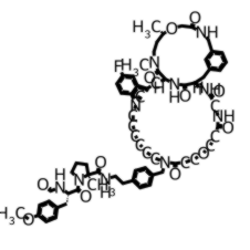 COc1ccc(C[C@H](NC=O)C(=O)N2CCC[C@@]2(C)C(=O)NCCc2ccc(CN3CCCCCCn4cc(c5cc(F)ccc54)C[C@@H]4NC(=O)[C@H](Cc5cccc(c5)CNC(=O)CO[C@H](C)CCN(C)C4=O)NC(=O)CNC(=O)CCOCCC3=O)cc2)cc1